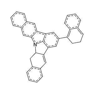 C1=C2c3cc(C4=c5ccccc5=CCC4)cc4c5cc6ccccc6cc5n(c34)C2Cc2ccccc21